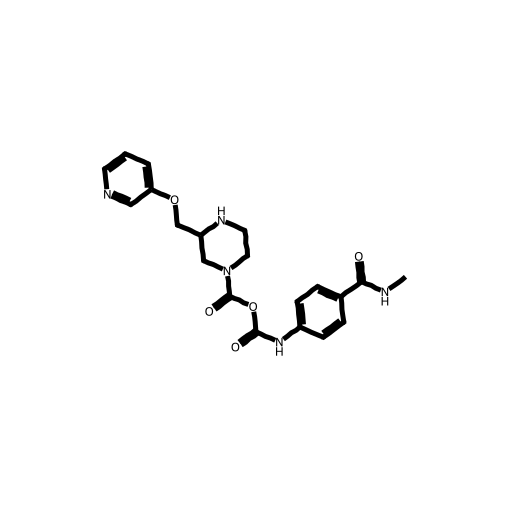 CNC(=O)c1ccc(NC(=O)OC(=O)N2CCNC(COc3cccnc3)C2)cc1